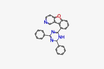 c1ccc(C2=NC(c3ccccc3)NC(c3cccc4oc5ccncc5c34)=N2)cc1